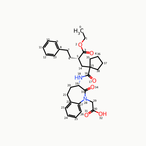 CCOC(=O)[C@@H](CCc1ccccc1)CC1(C(=O)N[C@H]2CCc3ccccc3N(CC(=O)O)C2=O)CCCC1